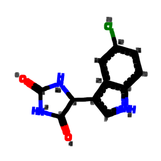 O=C1NC(=O)C(c2c[nH]c3ccc(Cl)cc23)N1